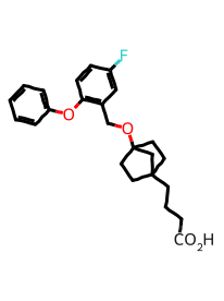 O=C(O)CCCC12CCC(OCc3cc(F)ccc3Oc3ccccc3)(CC1)C2